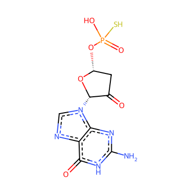 Nc1nc2c(ncn2[C@@H]2O[C@H](OP(=O)(O)S)CC2=O)c(=O)[nH]1